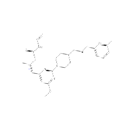 COc1cc(/C=C(/C)SC(=O)NC=O)nc(N2CCC(CNCc3cccc(F)n3)CC2)n1